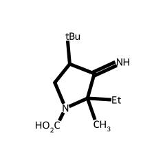 CCC1(C)C(=N)C(C(C)(C)C)CN1C(=O)O